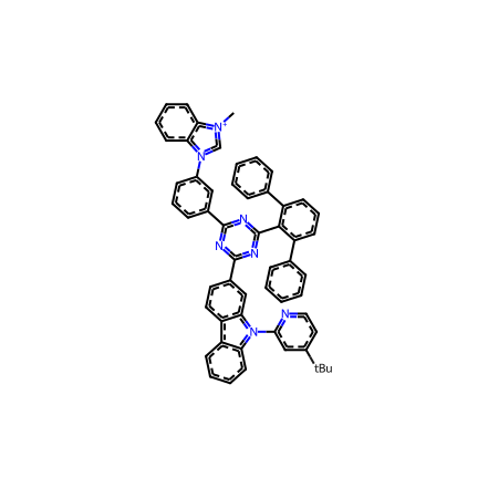 C[n+]1cn(-c2cccc(-c3nc(-c4ccc5c6ccccc6n(-c6cc(C(C)(C)C)ccn6)c5c4)nc(-c4c(-c5ccccc5)cccc4-c4ccccc4)n3)c2)c2ccccc21